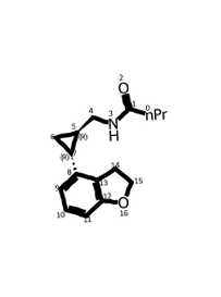 CCCC(=O)NC[C@@H]1C[C@H]1c1cccc2c1CCO2